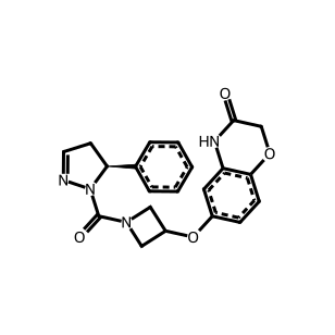 O=C1COc2ccc(OC3CN(C(=O)N4N=CC[C@H]4c4ccccc4)C3)cc2N1